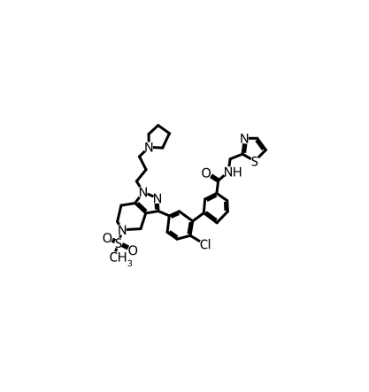 CS(=O)(=O)N1CCc2c(c(-c3ccc(Cl)c(-c4cccc(C(=O)NCc5nccs5)c4)c3)nn2CCCN2CCCC2)C1